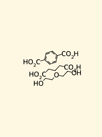 O=C(O)CCCC(=O)O.O=C(O)c1ccc(C(=O)O)cc1.OCCOCCO